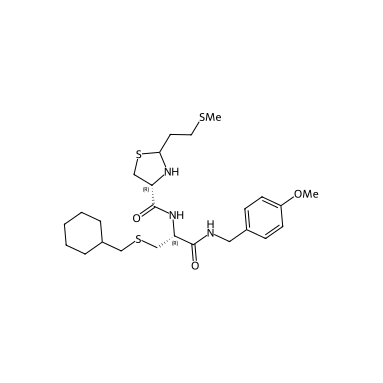 COc1ccc(CNC(=O)[C@H](CSCC2CCCCC2)NC(=O)[C@@H]2CSC(CCSC)N2)cc1